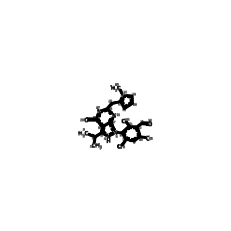 CC(C)c1[nH]n(-c2c(Cl)cc(Cl)c(C=O)c2Cl)c2nc(Cc3cccn3C)nc(=O)c1-2